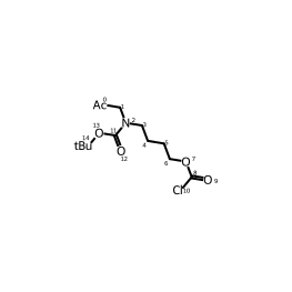 CC(=O)CN(CCCCOC(=O)Cl)C(=O)OC(C)(C)C